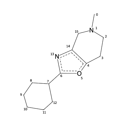 CN1CCc2oc(C3CCCCC3)nc2C1